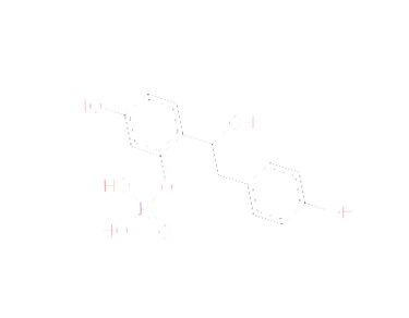 O=P(O)(O)Oc1cc(O)ccc1C(O)Cc1ccc(O)cc1